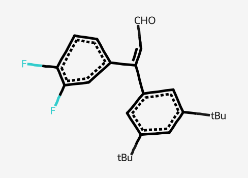 CC(C)(C)c1cc(C(=CC=O)c2ccc(F)c(F)c2)cc(C(C)(C)C)c1